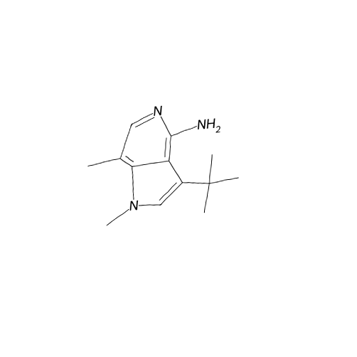 Cc1cnc(N)c2c(C(C)(C)C)cn(C)c12